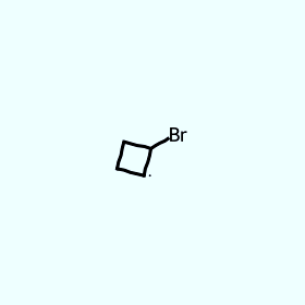 BrC1[CH]CC1